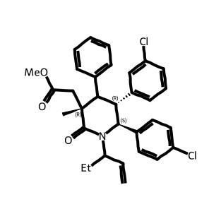 C=CC(CC)N1C(=O)[C@](C)(CC(=O)OC)C(c2ccccc2)[C@H](c2cccc(Cl)c2)[C@H]1c1ccc(Cl)cc1